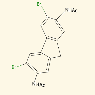 CC(=O)Nc1cc2c(cc1Br)-c1cc(Br)c(NC(C)=O)cc1C2